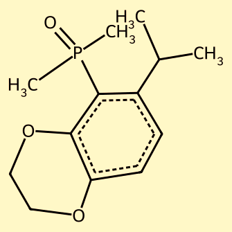 CC(C)c1ccc2c(c1P(C)(C)=O)OCCO2